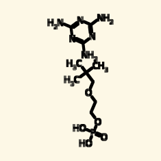 CC(C)(C)COCCOP(=O)(O)O.Nc1nc(N)nc(N)n1